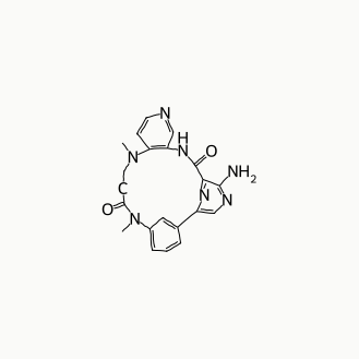 CN1CCC(=O)N(C)c2cccc(c2)-c2cnc(N)c(n2)C(=O)Nc2cnccc21